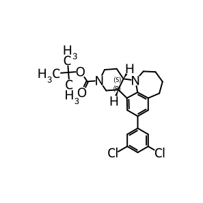 CC(C)(C)OC(=O)N1CC[C@H]2[C@@H](C1)c1cc(-c3cc(Cl)cc(Cl)c3)cc3c1N2CCCC3